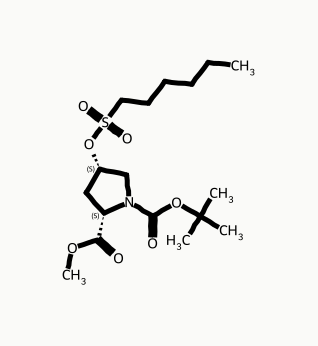 CCCCCCS(=O)(=O)O[C@H]1C[C@@H](C(=O)OC)N(C(=O)OC(C)(C)C)C1